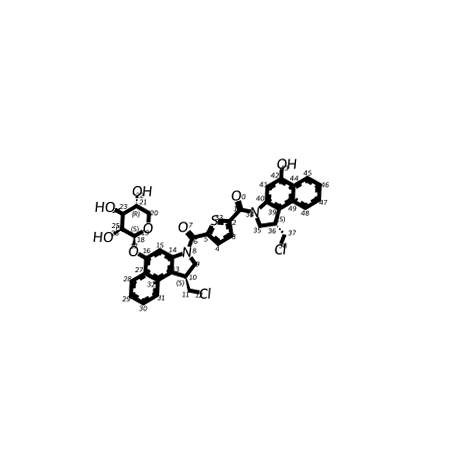 O=C(c1ccc(C(=O)N2C[C@@H](CCl)c3c2cc(O[C@@H]2OC[C@@H](O)C(O)[C@@H]2O)c2ccccc32)s1)N1C[C@@H](CCl)c2c1cc(O)c1ccccc21